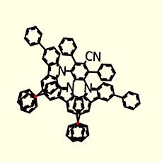 N#Cc1c(-c2ccccc2)c(-n2c3ccc(-c4ccccc4)cc3c3cc(-c4ccccc4)ccc32)c(-n2c3ccc(-c4ccccc4)cc3c3cc(-c4ccccc4)ccc32)c(-n2c3ccc(-c4ccccc4)cc3c3cc(-c4ccccc4)ccc32)c1-c1ccccc1